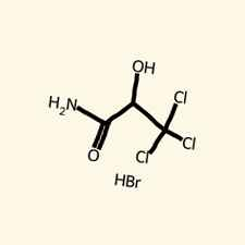 Br.NC(=O)C(O)C(Cl)(Cl)Cl